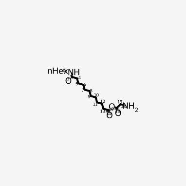 CCCCCCNC(=O)CCCCCCCCCCC(=O)OC(=O)CN